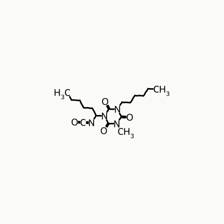 CCCCCCn1c(=O)n(C)c(=O)n(C(CCCCC)N=C=O)c1=O